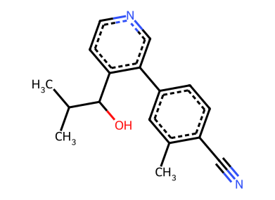 Cc1cc(-c2cnccc2C(O)C(C)C)ccc1C#N